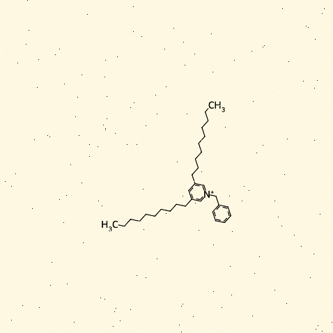 CCCCCCCCCCc1cc(CCCCCCCCCC)c[n+](Cc2ccccc2)c1